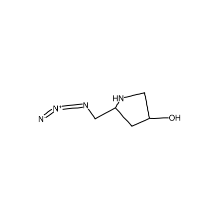 [N-]=[N+]=NCC1CC(O)CN1